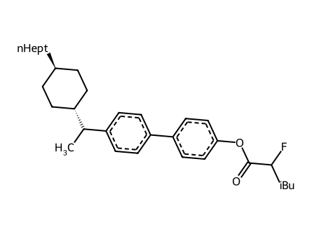 CCCCCCC[C@H]1CC[C@H](C(C)c2ccc(-c3ccc(OC(=O)C(F)C(C)CC)cc3)cc2)CC1